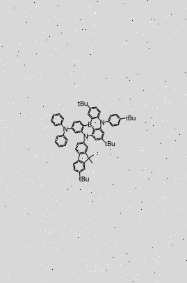 CC(C)(C)c1ccc(N2c3ccc(C(C)(C)C)cc3B3c4ccc(N(c5ccccc5)c5ccccc5)cc4N(c4ccc5c(c4)C(C)(C)c4cc(C(C)(C)C)ccc4-5)c4cc(C(C)(C)C)cc2c43)cc1